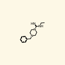 CCNC(=N)N1CCN(Cc2ccccc2)CC1